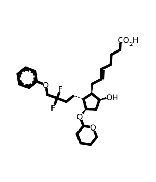 O=C(O)CCCC=CC[C@@H]1[C@@H](CCC(F)(F)COc2ccccc2)[C@H](OC2CCCCO2)C[C@@H]1O